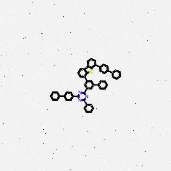 c1ccc(-c2ccc(-c3nc(-c4ccccc4)nc(-c4cc(-c5ccccc5)cc(-c5cccc6c5sc5c(-c7ccc(-c8ccccc8)cc7)cccc56)c4)n3)cc2)cc1